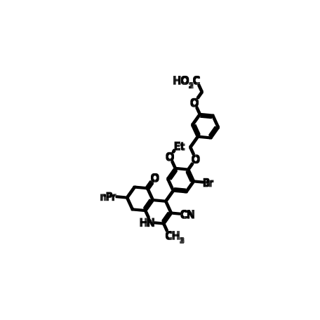 CCCC1CC(=O)C2=C(C1)NC(C)=C(C#N)C2c1cc(Br)c(OCc2cccc(OCC(=O)O)c2)c(OCC)c1